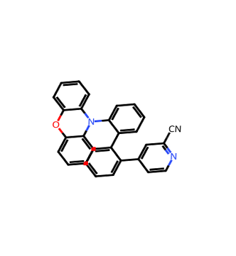 N#Cc1cc(-c2ccccc2-c2ccccc2N2c3ccccc3Oc3ccccc32)ccn1